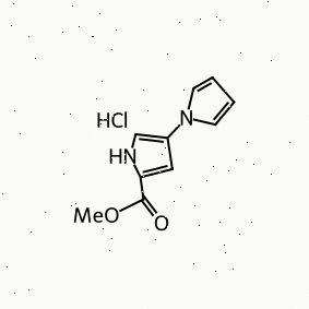 COC(=O)c1cc(-n2cccc2)c[nH]1.Cl